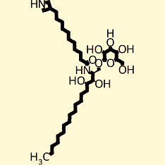 CCCCCCCCCCCCCC[C@@H](O)[C@@H](O)[C@H](COC1OC(CO)C(O)C(O)C1O)NC(=O)CCCCCCCCCCC1CNC1